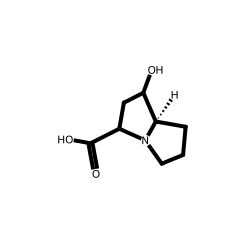 O=C(O)C1CC(O)[C@H]2CCCN12